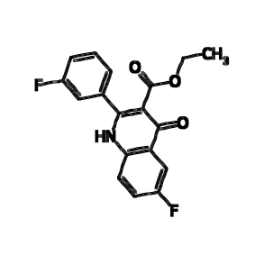 CCOC(=O)c1c(-c2cccc(F)c2)[nH]c2ccc(F)cc2c1=O